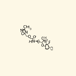 Cc1noc(COCC(=O)NC23CC(C(Oc4ccc(Cl)c(F)c4)C(N)=O)(C2)C3)n1